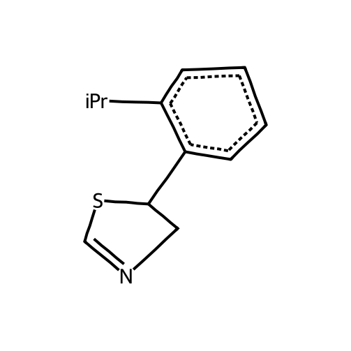 CC(C)c1ccccc1C1CN=CS1